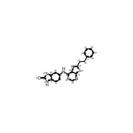 O=c1[nH]c2ccc(Nc3ncnc4sc(CCc5ccccc5)nc34)cc2s1